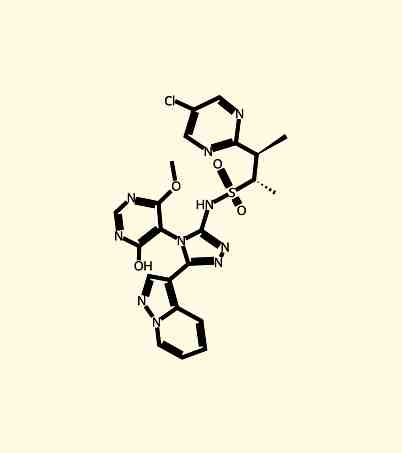 COc1ncnc(O)c1-n1c(NS(=O)(=O)[C@@H](C)[C@H](C)c2ncc(Cl)cn2)nnc1-c1cnn2ccccc12